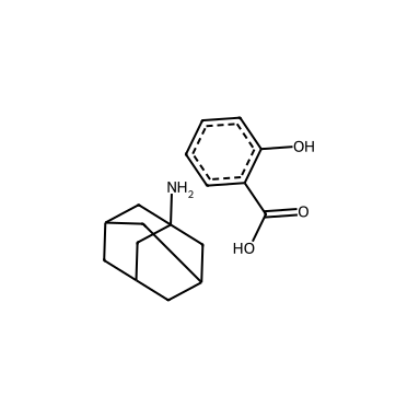 NC12CC3CC(CC(C3)C1)C2.O=C(O)c1ccccc1O